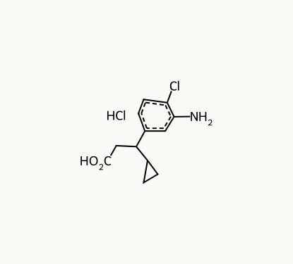 Cl.Nc1cc(C(CC(=O)O)C2CC2)ccc1Cl